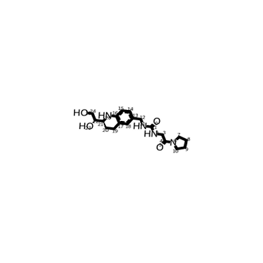 O=C(NCC(=O)N1CCCC1)NCc1ccc2c(c1)CC[C@@H]([C@H](O)CO)N2